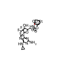 CCOC(=O)C(C)N[P@@](=O)(OC[C@H]1O[C@@H](n2cnc3c(NC4CC4)nc(N)nc32)[C@@](F)(C(F)F)[C@@H]1O)Oc1ccccc1